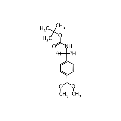 [2H]C([2H])(NC(=O)OC(C)(C)C)c1ccc(C(OC)OC)cc1